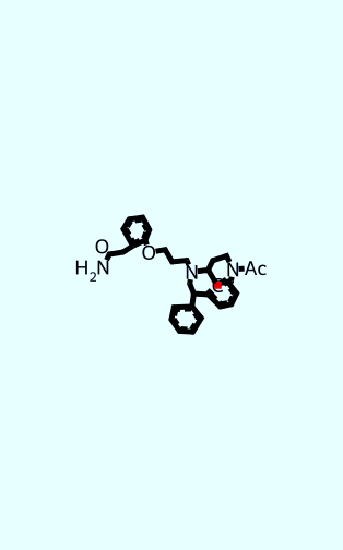 CC(=O)N1CCC(N(CCCOc2ccccc2CC(N)=O)CC(c2ccccc2)c2ccccc2)CC1